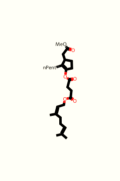 CCCCCC1=C(OC(=O)CCC(=O)OCC=C(C)CCC=C(C)C)CCC1CC(=O)OC